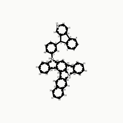 c1cc(C2c3ccccc3-c3ccncc32)cc(-n2c3ccccc3c3c4c5cc6ccccc6cc5n5c6ccccc6c(cc32)c45)c1